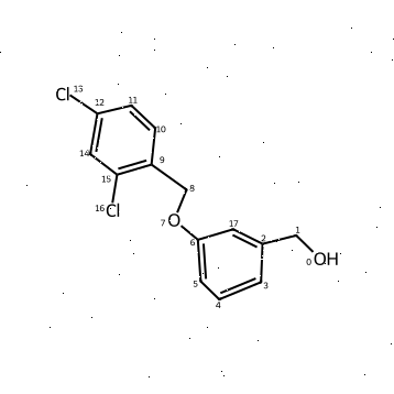 OCc1cccc(OCc2ccc(Cl)cc2Cl)c1